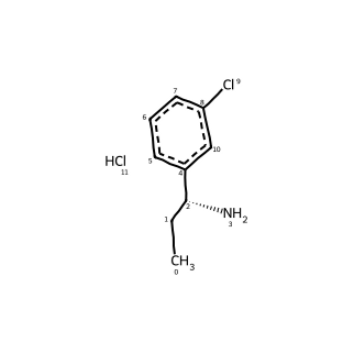 CC[C@@H](N)c1cccc(Cl)c1.Cl